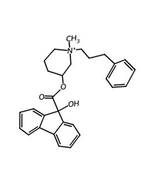 C[N+]1(CCCc2ccccc2)CCCC(OC(=O)C2(O)c3ccccc3-c3ccccc32)C1